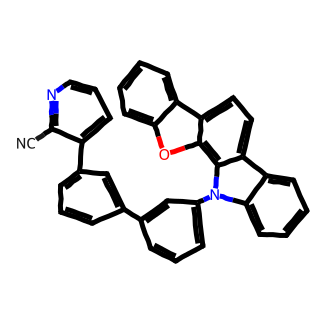 N#Cc1ncccc1-c1cccc(-c2cccc(-n3c4ccccc4c4ccc5c6ccccc6oc5c43)c2)c1